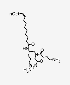 CCCCCCCC/C=C\CCCCCCCC(=O)N[C@@H](CCCCN)CN(CC(N)=O)C(=O)CCCN